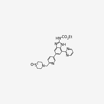 CCOC(=O)Nc1nc2cc(-c3ccc(CN4CC[S+]([O-])CC4)nc3)cc(-c3ncccn3)c2[nH]1